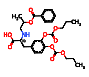 CCCOC(=O)Oc1ccc(C[C@H](NCC(C)OC(=O)c2ccccc2)C(=O)O)cc1OC(=O)OCCC